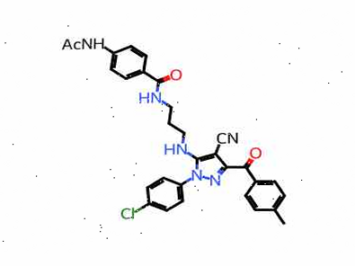 CC(=O)Nc1ccc(C(=O)NCCCNc2c(C#N)c(C(=O)c3ccc(C)cc3)nn2-c2ccc(Cl)cc2)cc1